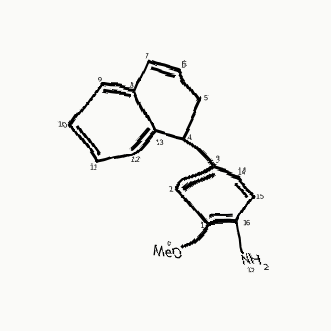 COc1cc(C2CC=Cc3ccccc32)ccc1N